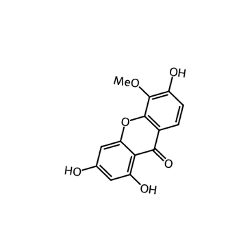 COc1c(O)ccc2c(=O)c3c(O)cc(O)cc3oc12